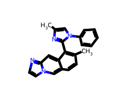 Cc1cn(-c2ccccc2)c(-c2c(C)ccc3cn4ccnc4cc23)n1